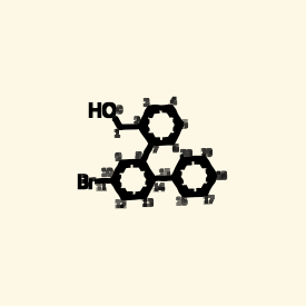 OCc1ccccc1-c1cc(Br)ccc1-c1ccccc1